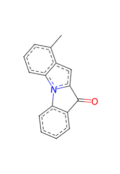 Cc1cccc2c1cc1n2-c2ccccc2C1=O